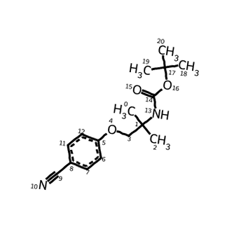 CC(C)(COc1ccc(C#N)cc1)NC(=O)OC(C)(C)C